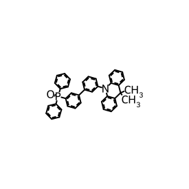 CC1(C)c2ccccc2N(c2cccc(-c3cccc(P(=O)(c4ccccc4)c4ccccc4)c3)c2)c2ccccc21